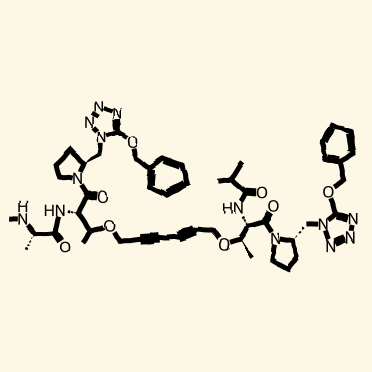 CN[C@@H](C)C(=O)N[C@H](C(=O)N1CCC[C@H]1Cn1nnnc1OCc1ccccc1)C(C)OCC#CC#CCO[C@H](C)[C@H](NC(=O)C(C)C)C(=O)N1CCC[C@H]1Cn1nnnc1OCc1ccccc1